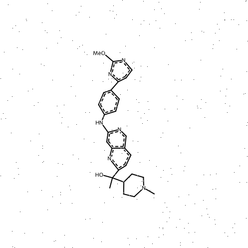 COc1nccc(-c2ccc(Nc3cc4nc(C(C)(O)C5CCN(C)CC5)ccc4cn3)cc2)n1